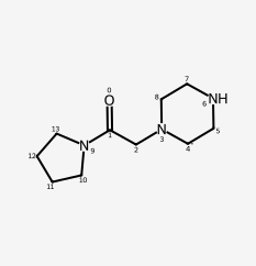 O=C(CN1[CH]CNCC1)N1CCCC1